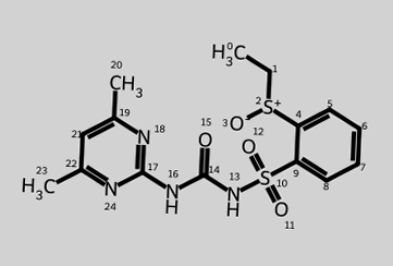 CC[S+]([O-])c1ccccc1S(=O)(=O)NC(=O)Nc1nc(C)cc(C)n1